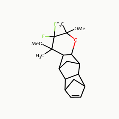 COC1(C)C2C3CC(C2OC(OC)(C(F)(F)F)C1(F)F)C1C2C=CC(C2)C31